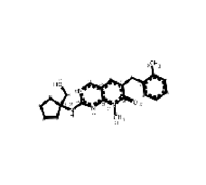 Cc1ccccc1Cc1cc2cnc(NC3(CO)CCCC3)nc2n(C)c1=O